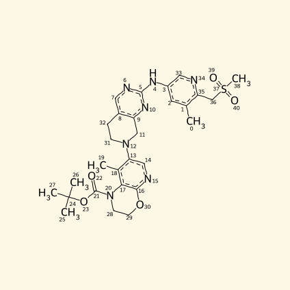 Cc1cc(Nc2ncc3c(n2)CN(c2cnc4c(c2C)N(C(=O)OC(C)(C)C)CCO4)CC3)cnc1CS(C)(=O)=O